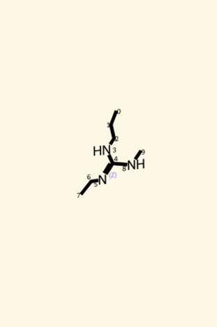 CCCN/C(=N\CC)NC